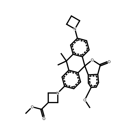 COC(=O)C1CN(c2ccc3c(c2)C(C)(C)c2cc(N4CCC4)ccc2C32OC(=O)c3ccc(OC)cc32)C1